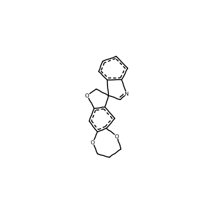 C1=Nc2ccccc2C12COc1cc3c(cc12)OCCCO3